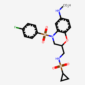 O=C(O)Nc1ccc2c(c1)N(S(=O)(=O)c1ccc(F)cc1)CC(CNS(=O)(=O)C1CC1)O2